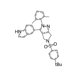 Cc1cccc(C)c1-n1nc2c(c1-c1ccc3[nH]ccc3c1)CN(S(=O)(=O)c1ccc(C(C)(C)C)cc1)C2